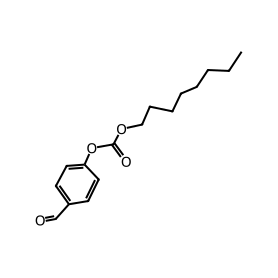 CCCCCCCCOC(=O)Oc1ccc(C=O)cc1